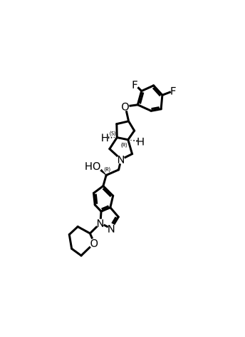 O[C@@H](CN1C[C@H]2CC(Oc3ccc(F)cc3F)C[C@H]2C1)c1ccc2c(cnn2C2CCCCO2)c1